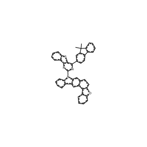 CC1(C)c2ccccc2-c2ccc(-c3nc(-n4c5ccccc5c5cc6c(ccc7oc8ccccc8c76)cc54)nc4c3sc3ccccc34)cc21